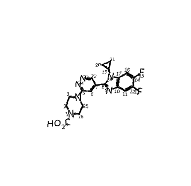 O=C(O)N1CCN(c2cc(-c3nc4cc(F)c(F)cc4n3C3CC3)cnn2)CC1